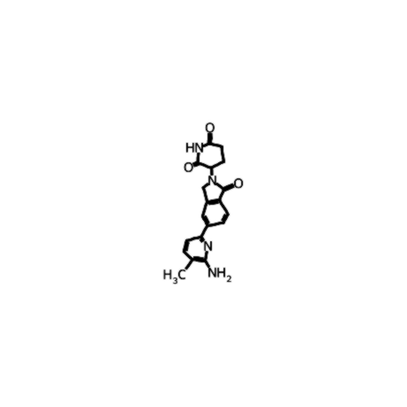 Cc1ccc(-c2ccc3c(c2)CN(C2CCC(=O)NC2=O)C3=O)nc1N